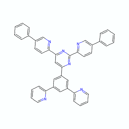 c1ccc(-c2ccc(-c3cc(-c4cc(-c5ccccn5)cc(-c5ccccn5)c4)nc(-c4ccc(-c5ccccc5)cn4)n3)nc2)cc1